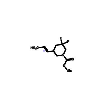 CC(C)(C)OC(=O)N1CC(/C=C/C(=O)O)CC(F)(F)C1